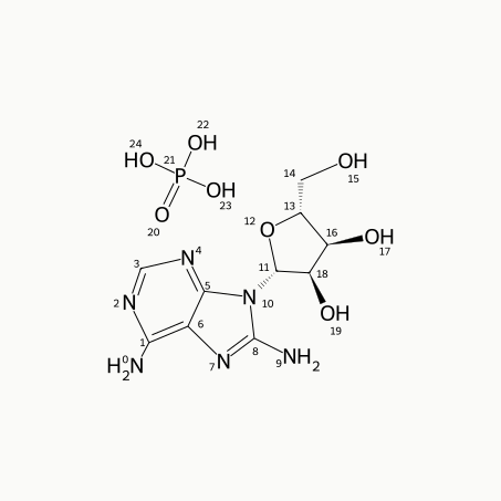 Nc1ncnc2c1nc(N)n2[C@@H]1O[C@H](CO)[C@@H](O)[C@H]1O.O=P(O)(O)O